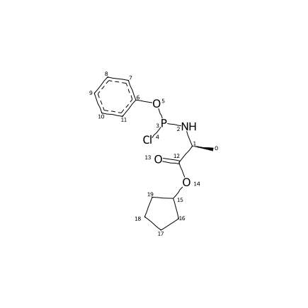 C[C@H](NP(Cl)Oc1ccccc1)C(=O)OC1CCCC1